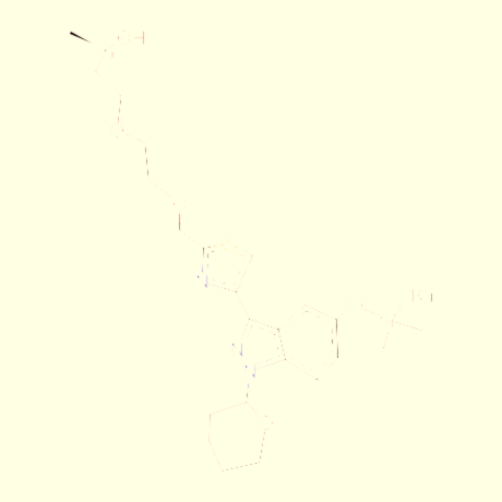 C[C@@H](O)CCOCCOCc1nc(-c2nn(C3CCCCO3)c3ccc(O[Si](C)(C)C(C)(C)C)cc23)cs1